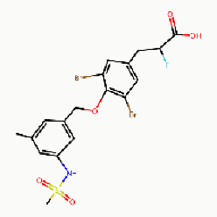 Cc1cc(COc2c(Br)cc(CC(F)C(=O)O)cc2Br)cc(NS(C)(=O)=O)c1